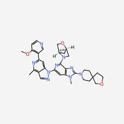 COc1ccncc1-c1cc2c(cnn2-c2cc3c(nc(N4CCC5(CCOC5)CC4)n3C)c(N3C[C@H]4C[C@@H]3CO4)n2)c(C)n1